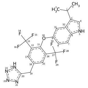 CC(C)c1c[nH]c2ccc(Oc3c(C(F)(F)F)cc(Cc4nnn[nH]4)cc3C(F)(F)F)cc12